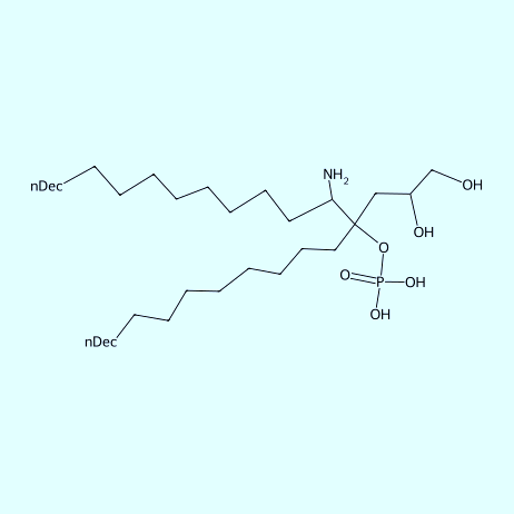 CCCCCCCCCCCCCCCCCCC(N)C(CCCCCCCCCCCCCCCCCC)(CC(O)CO)OP(=O)(O)O